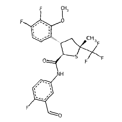 COc1c([C@@H]2C[C@](C)(C(F)(F)F)S[C@H]2C(=O)Nc2ccc(F)c(C=O)c2)ccc(F)c1F